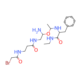 CCNC(=O)C(Cc1ccccc1)NC(C)OC(N)CNC(=O)CCNC(=O)CBr